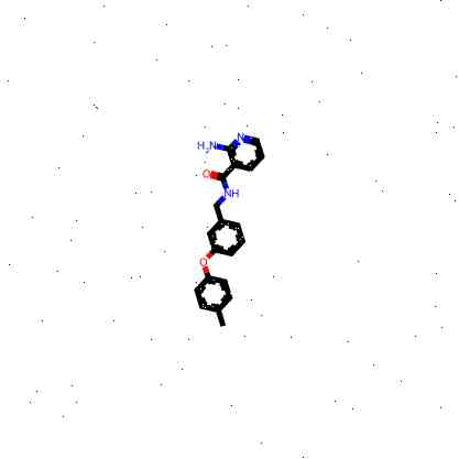 Cc1ccc(Oc2cccc(CNC(=O)c3cccnc3N)c2)cc1